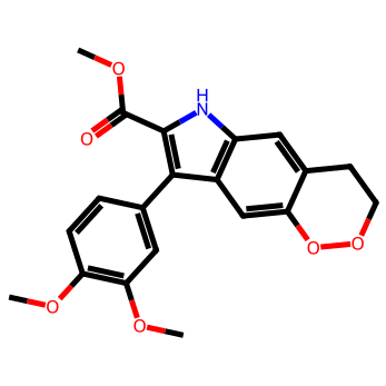 COC(=O)c1[nH]c2cc3c(cc2c1-c1ccc(OC)c(OC)c1)OOCC3